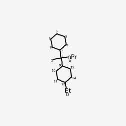 CCCC(C)(C1CCCCC1)C1CCC(CC)CC1